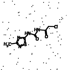 Cc1nsc(NC(=O)NC(=O)CCl)n1